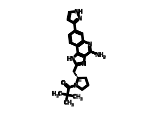 CC(C)(C)C(=O)N1CCC[C@H]1Cc1nc2c(N)nc3cc(-c4cc[nH]n4)ccc3c2[nH]1